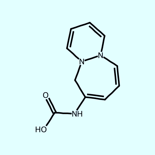 O=C(O)NC1=CC=CN2C=CC=CN2C1